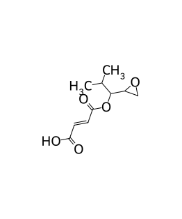 CC(C)C(OC(=O)/C=C/C(=O)O)C1CO1